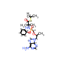 CC(Cn1cnc2c(N)ncnc21)OCP(=O)(NC(C)(C)C(=O)SC(C)C)Oc1ccccc1